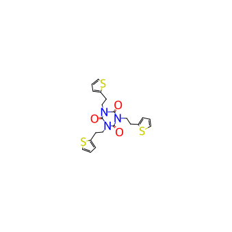 O=c1n(CCc2cccs2)c(=O)n(CCc2cccs2)c(=O)n1CCc1cccs1